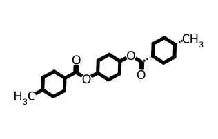 CC1CCC(C(=O)OC2CCC(OC(=O)[C@H]3CC[C@@H](C)CC3)CC2)CC1